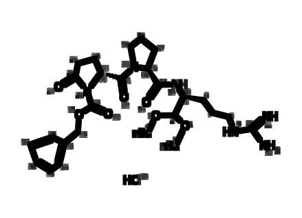 CCCCOC(OCCCC)[C@H](CCCNC(=N)N)NC(=O)[C@@H]1CCCN1C(=O)[C@H]1CCC(=O)N1C(=O)OCc1ccccc1.Cl